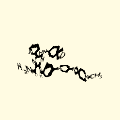 CN1CCC2(CC1)CN(C1CCN(c3ccc(Nc4nc(NC5CCC6(CC5)COC6)c(-c5ccccn5)nc4C(N)=O)cc3)CC1)C2